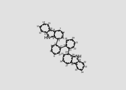 c1ccc(-c2cccc3c2[nH]c2ccccc23)c(-c2ccccc2-c2cccc3c2[nH]c2ccccc23)c1